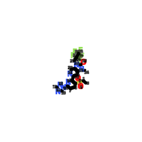 CCS(=O)(=O)c1ccc(-n2cncn2)nc1-c1cc2c(cn1)n(CC(F)(F)C(F)(F)F)c(=O)n2C